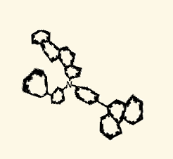 c1ccc(-c2cccc(N(c3ccc(-c4cc5ccccc5c5ccccc45)cc3)c3ccc4ccc5c6ccccc6ccc5c4c3)c2)cc1